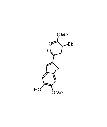 CCC(CC(=O)c1cc2cc(O)c(OC)cc2s1)C(=O)OC